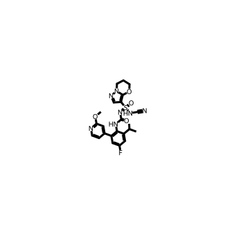 COc1cc(-c2cc(F)cc(C(C)C)c2NC(=O)N=S(=O)(NC#N)c2cnn3c2OCCC3)ccn1